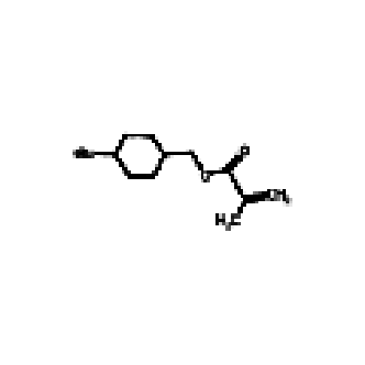 C=C(C)C(=O)OCC1CCC(C(C)(C)C)CC1